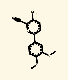 COc1ccc(-c2ccc(N)c(C#N)n2)cc1OC